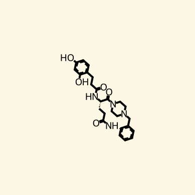 NC(=O)CC[C@H](NC(=O)CCc1ccc(O)cc1O)C(=O)N1CCN(Cc2ccccc2)CC1